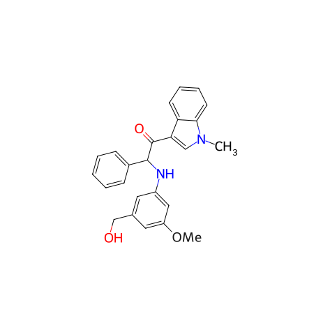 COc1cc(CO)cc(NC(C(=O)c2cn(C)c3ccccc23)c2ccccc2)c1